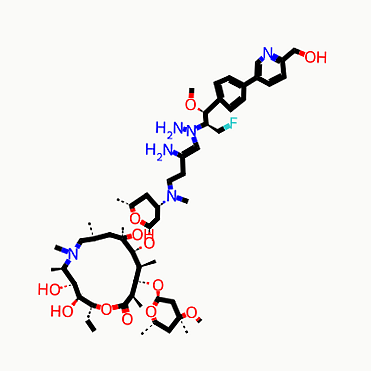 CC[C@H]1OC(=O)[C@H](C)[C@@H](O[C@H]2C[C@@](C)(OC)C[C@H](C)O2)[C@H](C)[C@@H](O[C@H]2C[C@@H](N(C)CC/C(N)=C/N(N)[C@H](CF)[C@H](OC)c3ccc(-c4ccc(CO)nc4)cc3)C[C@@H](C)O2)[C@](C)(O)C[C@@H](C)CN(C)[C@H](C)[C@@H](O)[C@@H]1O